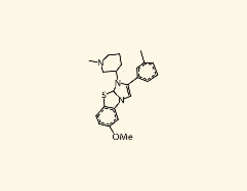 COc1ccc2c(c1)N1C=C(c3cccc(C)c3)N(C3CCCN(C)C3)C1S2